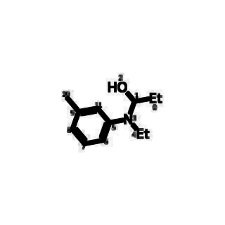 CCC(O)N(CC)c1cccc(C)c1